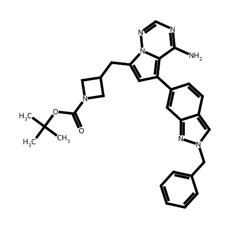 CC(C)(C)OC(=O)N1CC(Cc2cc(-c3ccc4cn(Cc5ccccc5)nc4c3)c3c(N)ncnn23)C1